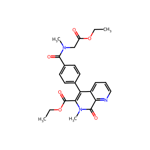 CCOC(=O)CN(C)C(=O)c1ccc(-c2c(C(=O)OCC)n(C)c(=O)c3ncccc23)cc1